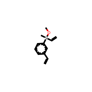 C=Cc1cccc([Si](C)(C=C)OC)c1